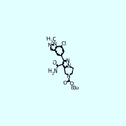 Cn1ncc2cc(-c3nn4c(c3C(N)=O)CN(C(=O)OC(C)(C)C)CC4)cc(Cl)c21